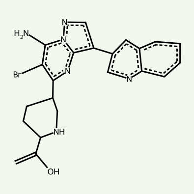 C=C(O)C1CCC(c2nc3c(-c4cnc5ccccc5c4)cnn3c(N)c2Br)CN1